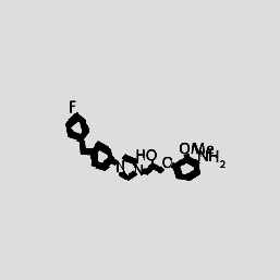 COc1c(N)cccc1OC[C@@H](O)CN1CCN(c2ccc(Cc3ccc(F)cc3)cc2)CC1